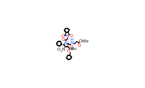 CC[C@H](C)[C@H](OCc1ccccc1)[C@H]1[C@H]([N+](=O)[O-])[C@H](c2ccccc2)N(C(=O)CN2C(=O)c3ccccc3C2=O)[C@@]1(C)C(=O)NCCC(=O)OC